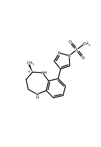 C[C@@H]1CCNc2cccc(-c3cnn(S(C)(=O)=O)c3)c2N1